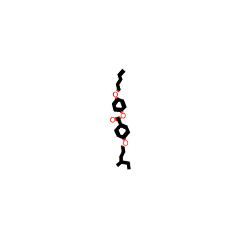 C=CCCCOc1ccc(OC(=O)c2ccc(OCCCC(C)CC)cc2)cc1